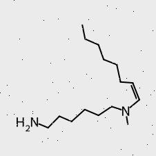 CCCCCC/C=C\N(C)CCCCCCN